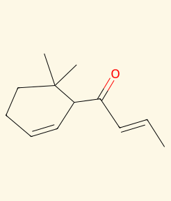 C/C=C/C(=O)C1C=CCCC1(C)C